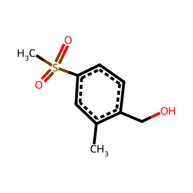 Cc1cc(S(C)(=O)=O)ccc1CO